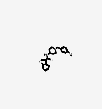 COc1ccc(CN2CCC(NC(=O)c3coc4ccccc34)CC2)cc1